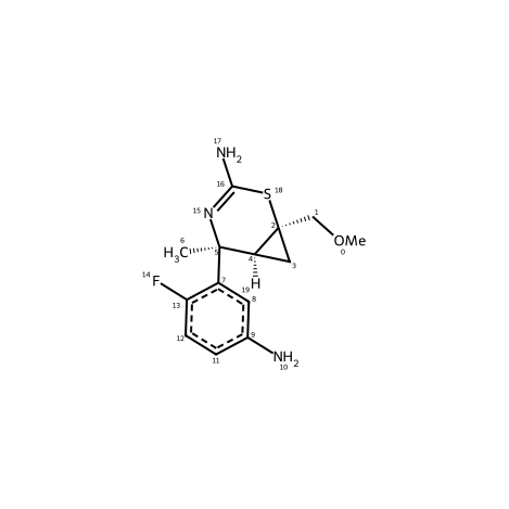 COC[C@]12C[C@H]1[C@@](C)(c1cc(N)ccc1F)N=C(N)S2